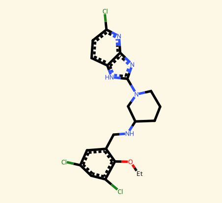 CCOc1c(Cl)cc(Cl)cc1CNC1CCCN(c2nc3nc(Cl)ccc3[nH]2)C1